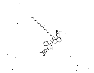 CCCCCCCCCCCCCCOc1c(Cl)cccc1CC(=O)Nc1ccccc1C[n+]1csc(C)c1.[Br-]